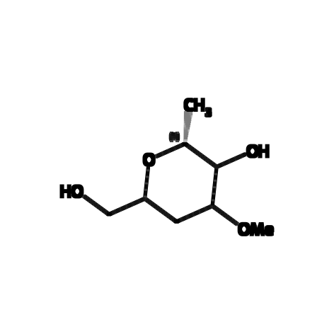 COC1CC(CO)O[C@H](C)C1O